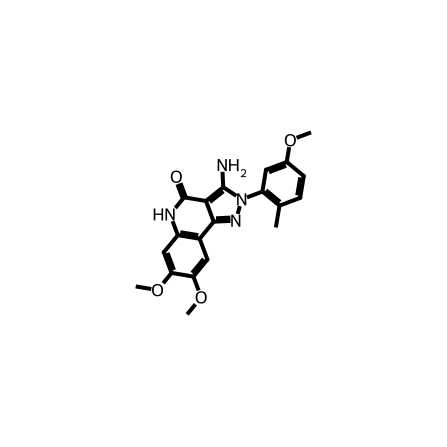 COc1ccc(C)c(-n2nc3c(c2N)c(=O)[nH]c2cc(OC)c(OC)cc23)c1